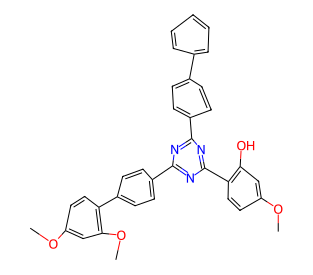 COc1ccc(-c2nc(-c3ccc(-c4ccccc4)cc3)nc(-c3ccc(-c4ccc(OC)cc4OC)cc3)n2)c(O)c1